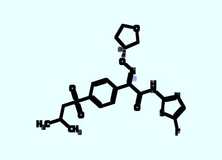 CC(C)CS(=O)(=O)c1ccc(/C(=N\O[C@@H]2CCOC2)C(=O)Nc2ncc(F)s2)cc1